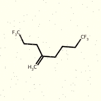 C=C([CH]CCC(F)(F)F)CCC(F)(F)F